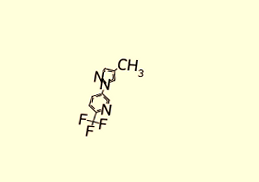 Cc1cnn(-c2ccc(C(F)(F)F)nc2)c1